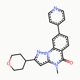 Cn1c(=O)c2ccc(-c3ccncc3)cc2n2nc(C3CCOCC3)cc12